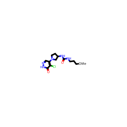 COCCCNC(=O)NC1CCN(c2cn[nH]c(=O)c2Cl)C1